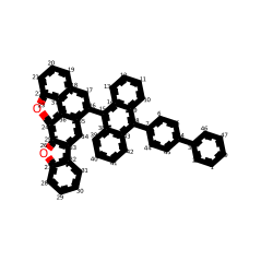 c1ccc(-c2ccc(-c3c4ccccc4c(-c4cc5cccc6oc7c8oc9ccccc9c8cc4c7c56)c4ccccc34)cc2)cc1